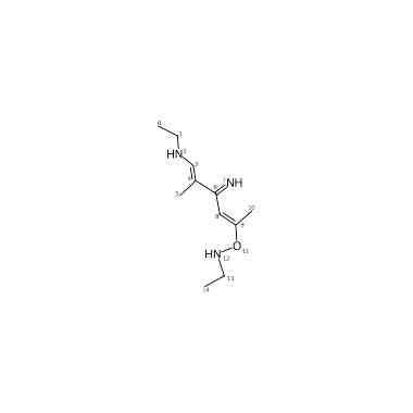 CCN/C=C(\C)C(=N)/C=C(\C)ONCC